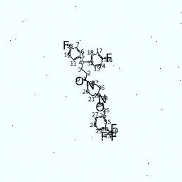 O=C(CCC(c1ccc(F)cc1)c1ccc(F)cc1)N1CCC(=NOCc2cccc(C(F)(F)F)c2)CC1